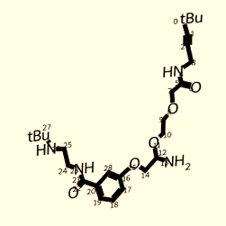 CC(C)(C)C#CCNC(=O)COCCOC(N)COc1cccc(C(=O)NCCNC(C)(C)C)c1